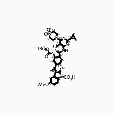 COc1ccc2c(c1)[C@]1(CC1c1ccc3c(Nc4nc(C5CC5)nc(N5CCS(=O)(=O)CC5)c4Cl)nn(C(=O)OC(C)(C)C)c3c1)C(=O)N2C(=O)O